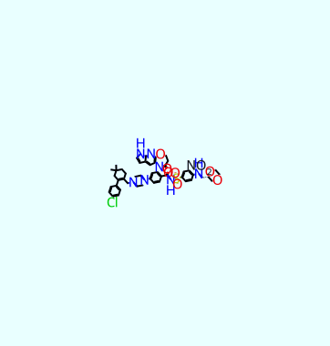 CC1(C)CCC(CN2CCN(c3ccc(C(=O)NS(=O)(=O)c4ccc(NC[C@H]5COCCO5)c([N+](=O)[O-])c4)c(N4C(=O)CCOc5nc6[nH]ccc6cc54)c3)CC2)=C(c2ccc(Cl)cc2)C1